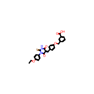 CCOc1ccc(N2C(=O)/C(=C/c3ccc(OCc4cccc(C(=O)O)c4)cc3)C(=O)NC2=S)cc1